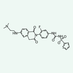 CN(C)CCNc1ccc2c(c1)CC(=O)N(c1ccc(NC(=O)NS(=O)(=O)c3cccs3)cc1F)C2=O